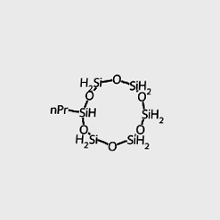 CCC[SiH]1O[SiH2]O[SiH2]O[SiH2]O[SiH2]O[SiH2]O1